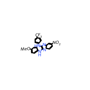 COc1ccc(Nc2nc3ccc([N+](=O)[O-])cc3nc2Nc2ccc(C(F)(F)F)cc2)cc1